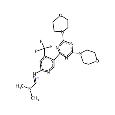 CN(C)/C=N/c1cc(C(F)(F)F)c(-c2nc(N3CCOCC3)nc(N3CCOCC3)n2)cn1